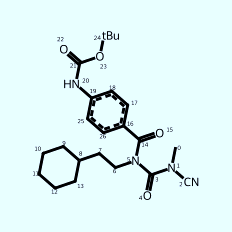 CN(C#N)C(=O)N(CCC1CCCCC1)C(=O)c1ccc(NC(=O)OC(C)(C)C)cc1